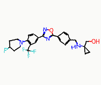 OCC1(NCc2ccc(-c3nc(-c4ccc(N5CCC(F)CC5)c(C(F)(F)F)c4)no3)cc2)CC1